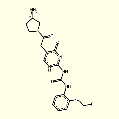 N[C@@H]1CCN(C(=O)Cc2c[nH]c(NC(=O)Nc3ccccc3OCF)nc2=O)C1